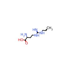 C=CCNC(=N)NCC[C@H](N)C(=O)O